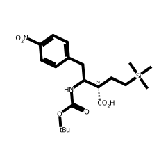 CC(C)(C)OC(=O)NC(Cc1ccc([N+](=O)[O-])cc1)[C@H](CC[Si](C)(C)C)C(=O)O